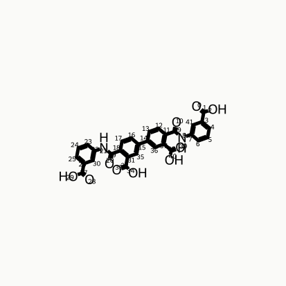 O=C(O)c1cccc(NC(=O)c2ccc(-c3ccc(C(=O)Nc4cccc(C(=O)O)c4)c(C(=O)O)c3)cc2C(=O)O)c1